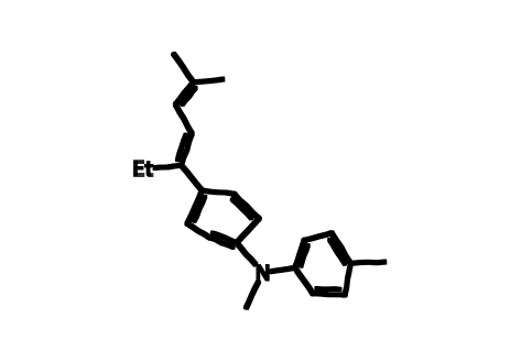 CC/C(=C\C=C(C)C)c1ccc(N(C)c2ccc(C)cc2)cc1